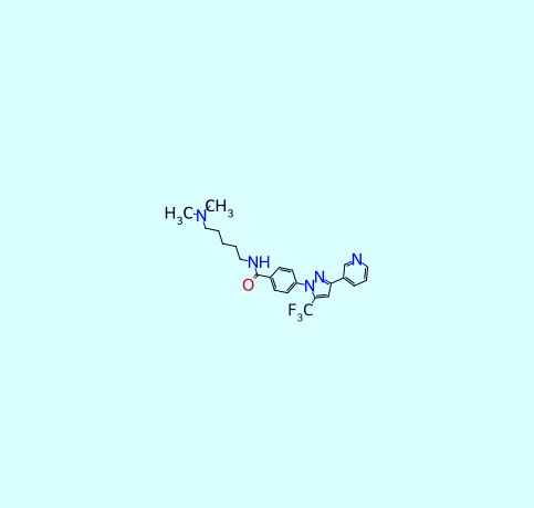 CN(C)CCCCCNC(=O)c1ccc(-n2nc(-c3cccnc3)cc2C(F)(F)F)cc1